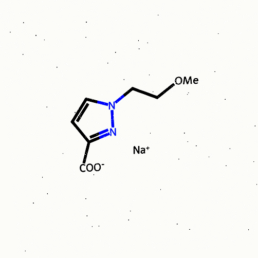 COCCn1ccc(C(=O)[O-])n1.[Na+]